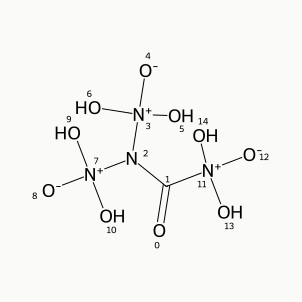 O=C(N([N+]([O-])(O)O)[N+]([O-])(O)O)[N+]([O-])(O)O